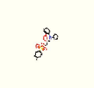 Cc1ccc(S(=O)(=O)OCC2CN(c3ccccc3)c3ccccc3O2)cc1